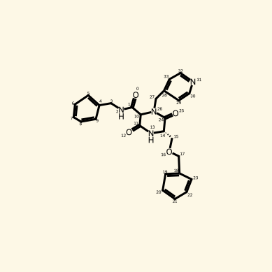 O=C(NCc1ccccc1)C1C(=O)N[C@@H](COCc2ccccc2)C(=O)N1Cc1ccncc1